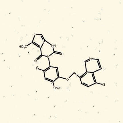 COc1cc(F)c(-n2c(=O)[nH]c3csc(C(=O)O)c3c2=O)cc1OCc1ccc(Cl)c2ccncc12